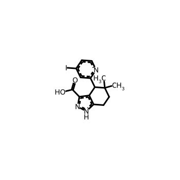 CC1(C)CCc2[nH]nc(C(=O)O)c2C1c1cc(I)ccn1